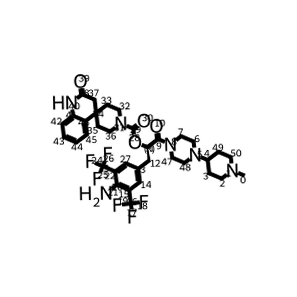 CN1CCC(N2CCN(C(=O)[C@@H](Cc3cc(C(F)(F)F)c(N)c(C(F)(F)F)c3)OC(=O)N3CCC4(CC3)CC(=O)Nc3ccccc34)CC2)CC1